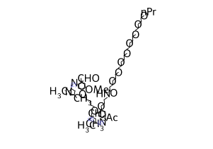 C/C=C(/C)CC(C)/C=N\c1cc(OCCCCCOc2cc(/N=C\C3CC(C)=CN3C)c(C=O)cc2OC)c(OCCCNC(=O)CCOCCOCCOCCOCCOCCOCCOCCOCCC)cc1C(C)=O